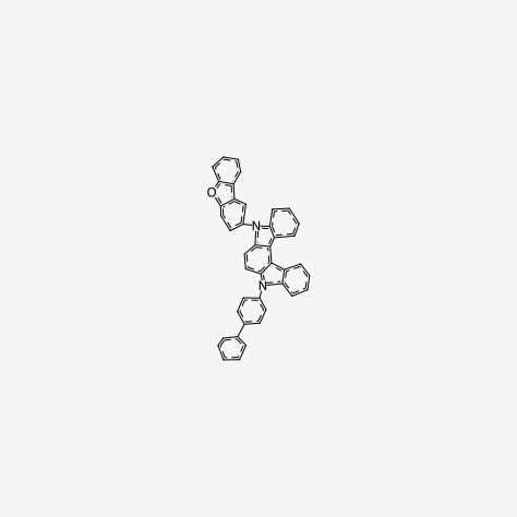 c1ccc(-c2ccc(-n3c4ccccc4c4c5c6ccccc6n(-c6ccc7oc8ccccc8c7c6)c5ccc43)cc2)cc1